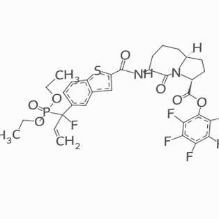 C=CC(F)(c1ccc2sc(C(=O)N[C@H]3CCC[C@H]4CC[C@@H](C(=O)Oc5c(F)c(F)c(F)c(F)c5F)N4C3=O)cc2c1)P(=O)(OCC)OCC